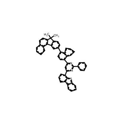 CC1(C)c2ccc(-c3ccc(-c4cc(-c5cccc6c5sc5ccccc56)nc(-c5ccccc5)n4)c4ccccc34)cc2-c2c1ccc1ccccc21